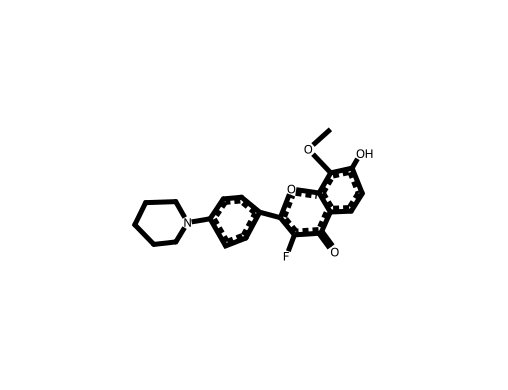 COc1c(O)ccc2c(=O)c(F)c(-c3ccc(N4CCCCC4)cc3)oc12